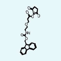 O=C(CCOCCNC(=O)OCC1c2ccccc2-c2ccccc21)ON1C(=O)CCC1=O